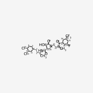 CC(CCc1ccc(Cl)c(Cl)c1)NC(=O)C1=C(O)C(=O)N(CCN(C)C(=O)c2cc(F)cc(C(F)(F)F)c2)C1